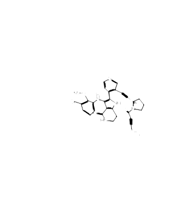 CC#CC(=O)N1CCC[C@@H]1C#Cc1cnccc1-c1[nH]c2c(c1Nc1cccc(Cl)c1OC)C(=O)NCC2